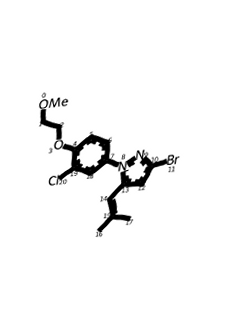 COCCOc1ccc(-n2nc(Br)cc2C=C(C)C)cc1Cl